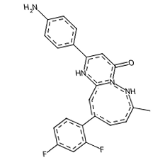 Cc1ccc(-c2ccc(F)cc2F)cc2[nH]c(-c3ccc(N)cc3)cc(=O)n2[nH]1